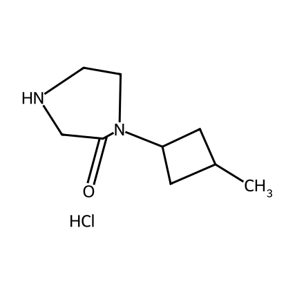 CC1CC(N2CCNCC2=O)C1.Cl